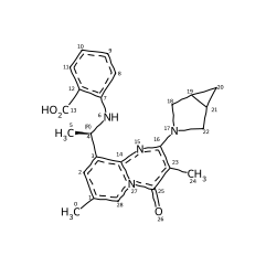 Cc1cc([C@@H](C)Nc2ccccc2C(=O)O)c2nc(N3CC4CC4C3)c(C)c(=O)n2c1